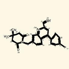 CC1(C)CC(=O)N(Cc2ccc3c(-c4ccc(F)cc4)cc(C=N)nc3c2)C(=O)C1